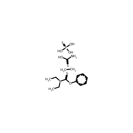 CC.CCN(CC)C(=S)Oc1ccccc1.NC(O)=S.OP(O)(O)=S